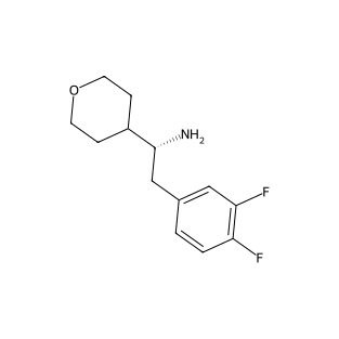 N[C@H](Cc1ccc(F)c(F)c1)C1CCOCC1